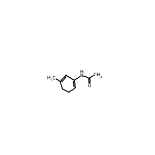 CC(=O)NC1=CCCC(C)=C1